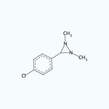 CN1C(c2ccc(Cl)cc2)N1C